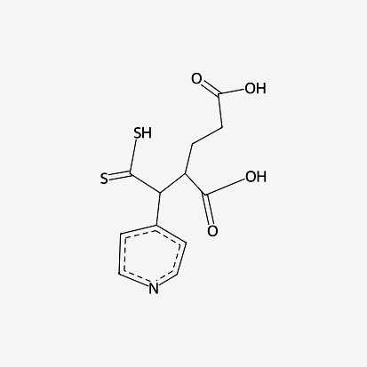 O=C(O)CCC(C(=O)O)C(C(=S)S)c1ccncc1